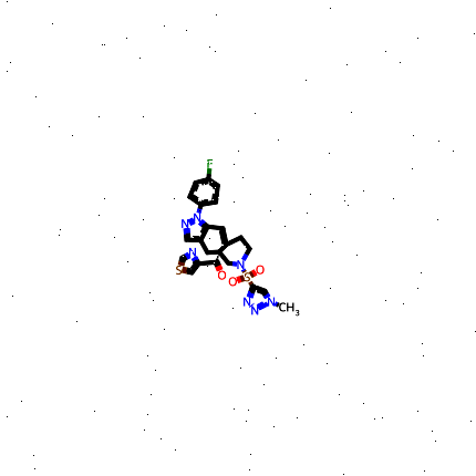 Cn1cc(S(=O)(=O)N2CCC3=Cc4c(cnn4-c4ccc(F)cc4)C[C@]3(C(=O)c3cscn3)C2)nn1